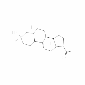 CC(=O)C1CC[C@@H]2[C@@H]3CC[C@@H]4C[C@@](C)(O)CC[C@]4(C)[C@@H]3CC[C@]12C